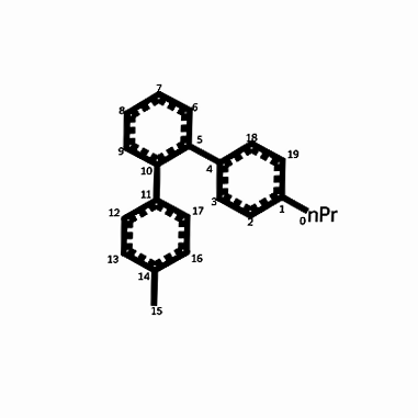 CCCc1ccc(-c2ccccc2-c2ccc(C)cc2)cc1